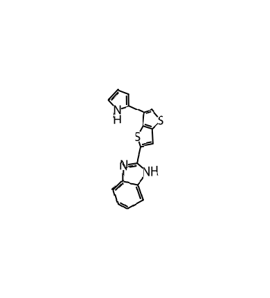 c1c[nH]c(-c2csc3cc(-c4nc5ccccc5[nH]4)sc23)c1